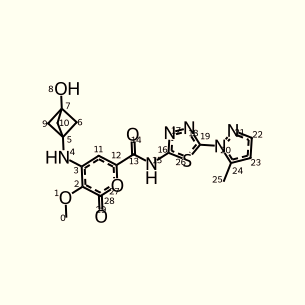 COc1c(NC23CC(O)(C2)C3)cc(C(=O)Nc2nnc(-n3nccc3C)s2)oc1=O